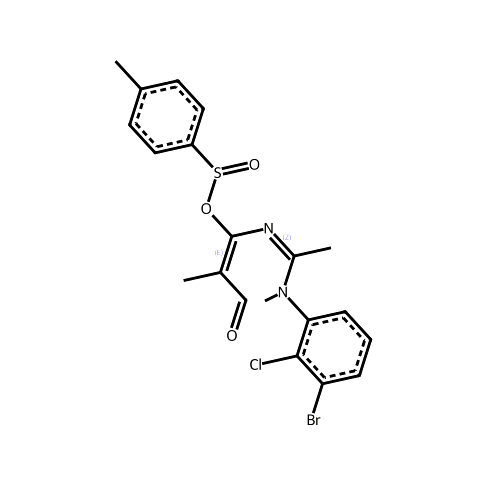 C/C(=N/C(OS(=O)c1ccc(C)cc1)=C(/C)C=O)N(C)c1cccc(Br)c1Cl